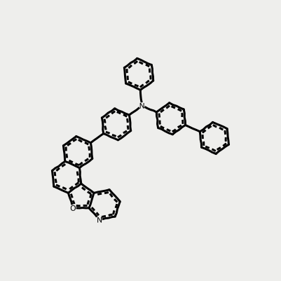 c1ccc(-c2ccc(N(c3ccccc3)c3ccc(-c4ccc5ccc6oc7ncccc7c6c5c4)cc3)cc2)cc1